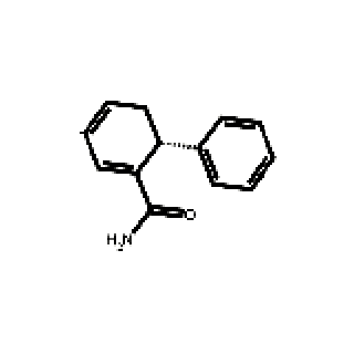 NC(=O)C1=C[C]=CC[C@@H]1c1ccccc1